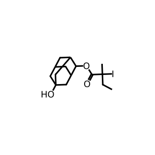 CCC(C)(I)C(=O)OC1C2CC3CC1CC(O)(C3)C2